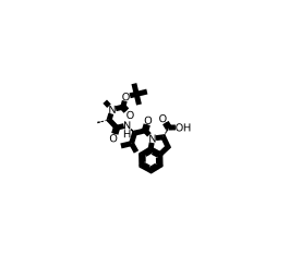 CC(C)[C@H](NC(=O)[C@H](C)N(C)C(=O)OC(C)(C)C)C(=O)N1c2ccccc2C[C@H]1C(=O)O